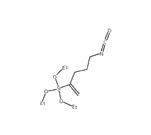 C=C(CCCN=C=O)[Si](OCC)(OCC)OCC